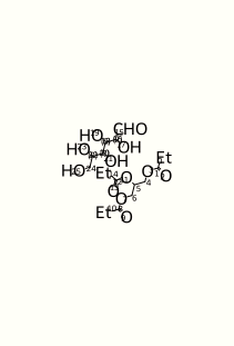 CCC(=O)OCC(COC(=O)CC)OC(=O)CC.O=C[C@H](O)[C@@H](O)[C@H](O)[C@H](O)CO